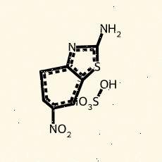 Nc1nc2ccc([N+](=O)[O-])cc2s1.O=S(=O)(O)O